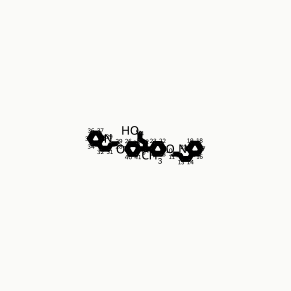 CC(CCCO)(c1ccc(OCc2ccc3ccccc3n2)cc1)c1ccc(OCc2ccc3ccccc3n2)cc1